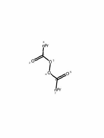 CCCC(=O)OOC(=O)CCC